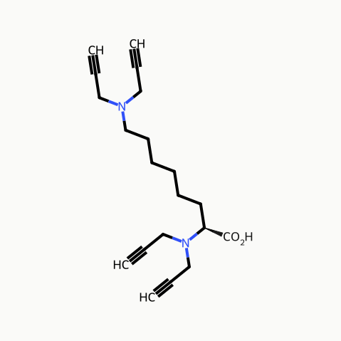 C#CCN(CC#C)CCCCCC[C@@H](C(=O)O)N(CC#C)CC#C